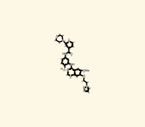 COc1cc2c(Nc3cc(NC(=O)c4ccnc(N5CCOCC5)c4)ccc3C)ncnc2cc1OCCn1ccnn1